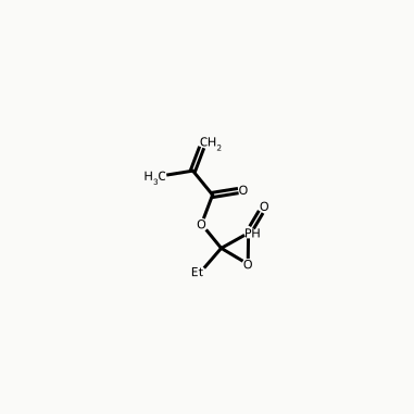 C=C(C)C(=O)OC1(CC)O[PH]1=O